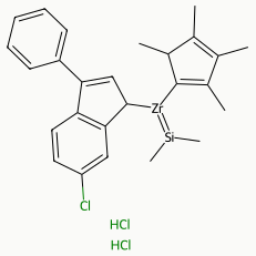 CC1=C(C)C(C)[C]([Zr]([CH]2C=C(c3ccccc3)c3ccc(Cl)cc32)=[Si](C)C)=C1C.Cl.Cl